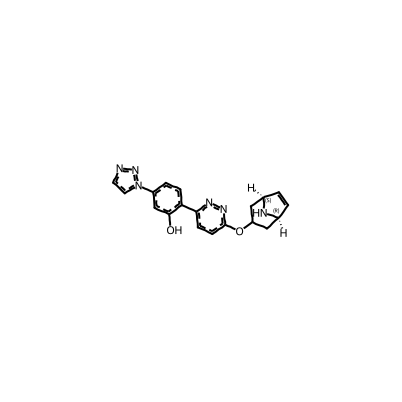 Oc1cc(-n2ccnn2)ccc1-c1ccc(OC2C[C@H]3C=C[C@@H](C2)N3)nn1